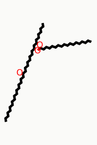 CCCCCCCCCCCCCCCCCC(=O)CCCCCCCCC(CCCCCCCCC)OC(=O)CCCCCCCCCCCCCCCCC